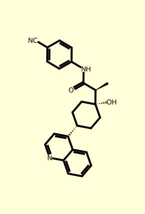 C[C@H](C(=O)Nc1ccc(C#N)cc1)[C@]1(O)CC[C@@H](c2ccnc3ccccc32)CC1